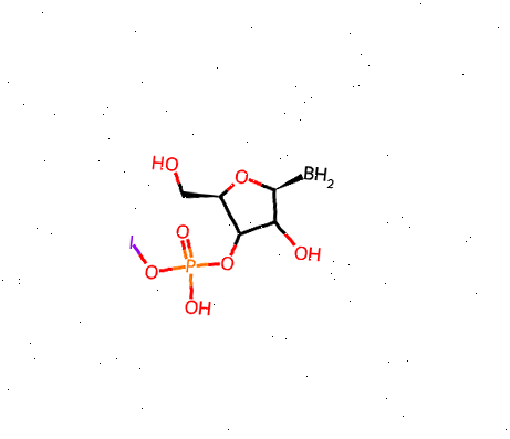 B[C@@H]1O[C@H](CO)C(OP(=O)(O)OI)C1O